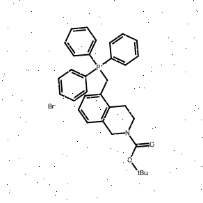 CC(C)(C)OC(=O)N1CCc2c(cccc2C[P+](c2ccccc2)(c2ccccc2)c2ccccc2)C1.[Br-]